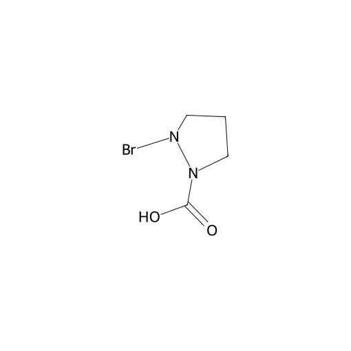 O=C(O)N1CCCN1Br